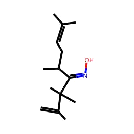 C=C(C)C(C)(C)/C(=N/O)C(C)CC=C(C)C